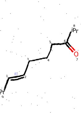 CC(C)/C=C/CCCC(=O)C(C)C